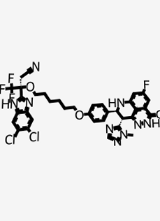 Cn1ncnc1[C@H]1c2n[nH]c(=O)c3cc(F)cc(c23)N[C@@H]1c1ccc(OCCCCCCO[C@@](CC#N)(c2nc3cc(Cl)c(Cl)cc3[nH]2)C(F)(F)F)cc1